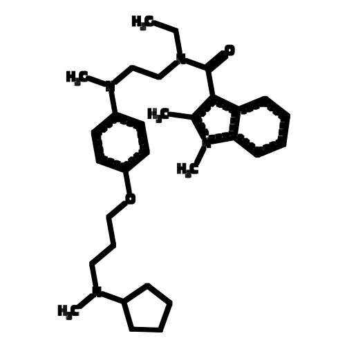 CCN(CCN(C)c1ccc(OCCCN(C)C2CCCC2)cc1)C(=O)c1c(C)n(C)c2ccccc12